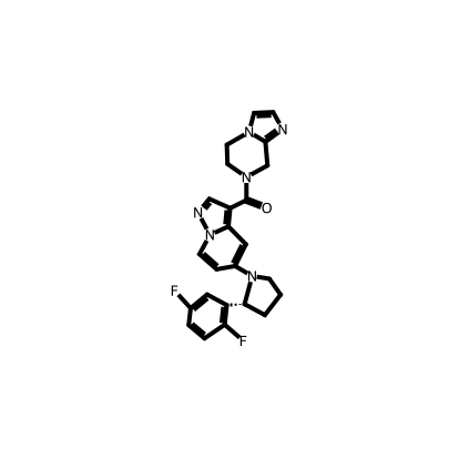 O=C(c1cnn2ccc(N3CCC[C@@H]3c3cc(F)ccc3F)cc12)N1CCn2ccnc2C1